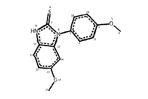 COc1ccc(-n2c(=S)[nH]c3ccc(OC)cc32)cc1